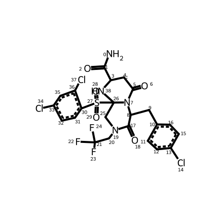 NC(=O)C1[C]C(=O)N2C(Cc3ccc(Cl)cc3)C(=O)N(CC(F)(F)F)CC2(S(=O)(=O)c2ccc(Cl)cc2Cl)N1